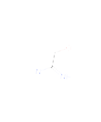 N=C(N)C[O]